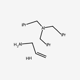 C=C[CH2][AlH2].CC(C)[CH2][Al]([CH2]C(C)C)[CH2]C(C)C.[HH]